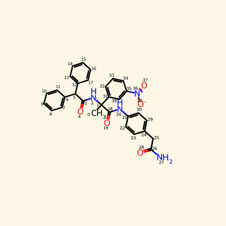 CC(NC(=O)C(c1ccccc1)c1ccccc1)(C(=O)Nc1ccc(CC(N)=O)cc1)c1cccc([N+](=O)[O-])c1